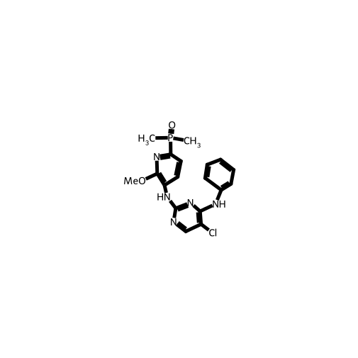 COc1nc(P(C)(C)=O)ccc1Nc1ncc(Cl)c(Nc2ccccc2)n1